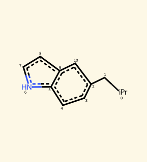 CC(C)Cc1ccc2[nH]c[c]c2c1